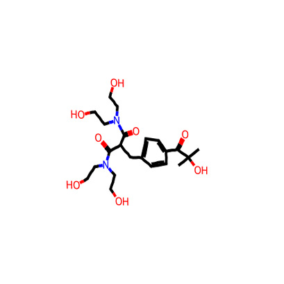 CC(C)(O)C(=O)c1ccc(CC(C(=O)N(CCO)CCO)C(=O)N(CCO)CCO)cc1